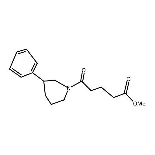 COC(=O)CCCC(=O)N1CCCC(c2ccccc2)C1